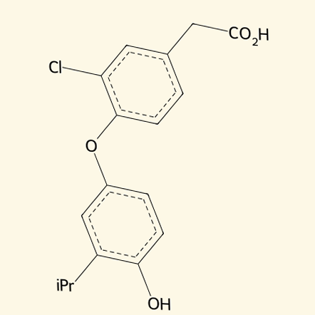 CC(C)c1cc(Oc2ccc(CC(=O)O)cc2Cl)ccc1O